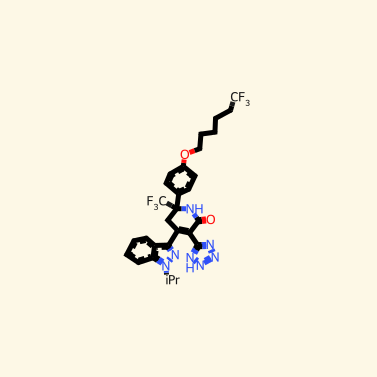 CC(C)n1nc(C2=C(c3nnn[nH]3)C(=O)NC(c3ccc(OCCCCCC(F)(F)F)cc3)(C(F)(F)F)C2)c2ccccc21